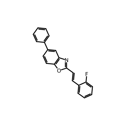 Fc1ccccc1C=Cc1nc2cc(-c3ccccc3)ccc2o1